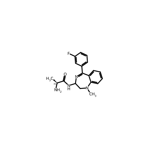 C[C@H](N)C(=O)NC1CN(C)c2ccccc2C(c2cccc(F)c2)=N1